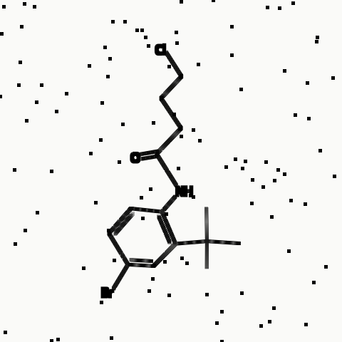 CC(C)(C)c1cc(Br)ccc1NC(=O)CCCCl